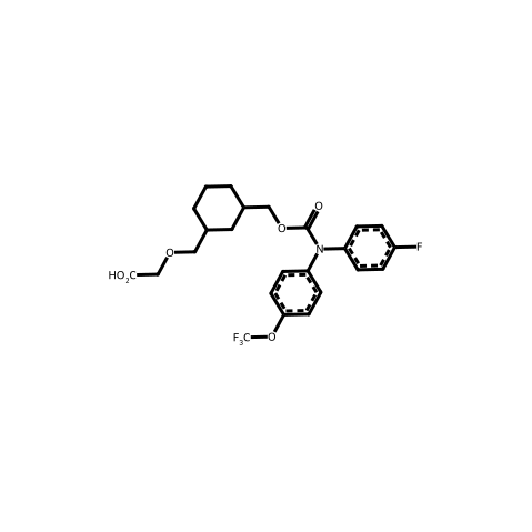 O=C(O)COCC1CCCC(COC(=O)N(c2ccc(F)cc2)c2ccc(OC(F)(F)F)cc2)C1